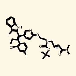 CC/C(=C(/c1ccc(OCCN(C/C=C/C(=O)N(C)C)C(=O)OC(C)(C)C)nc1)c1[nH]c2ccccc2c1I)c1ccc(F)cc1Cl